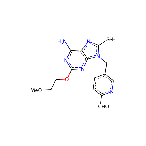 COCCOc1nc(N)c2nc([SeH])n(Cc3ccc(C=O)nc3)c2n1